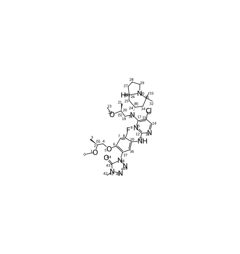 CO[C@@H](C)COc1cc(F)c(Nc2ncc(Cl)c(N(C[C@H](C)OC)[C@@H]3C[C@H]4CCCN4C(C)(C)C3)n2)cc1-n1nnn(C)c1=O